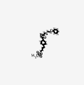 CS(=O)(=O)OCC/C=C/c1ccc(-c2nnc(CSCCOc3ccccc3)o2)cc1